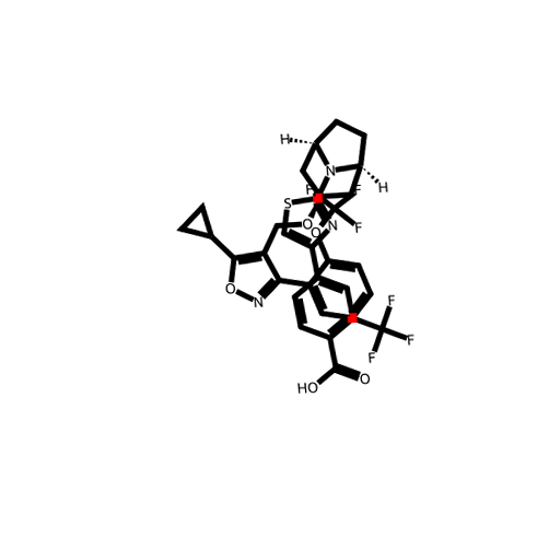 O=C(O)c1ccc(-c2csc(N3[C@@H]4CC[C@H]3C[C@@H](OCc3c(-c5ccccc5OC(F)(F)F)noc3C3CC3)C4)n2)cc1C(F)(F)F